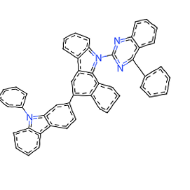 c1ccc(-c2nc(-n3c4ccccc4c4cc(-c5ccc6c7ccccc7n(-c7ccccc7)c6c5)c5ccccc5c43)nc3ccccc23)cc1